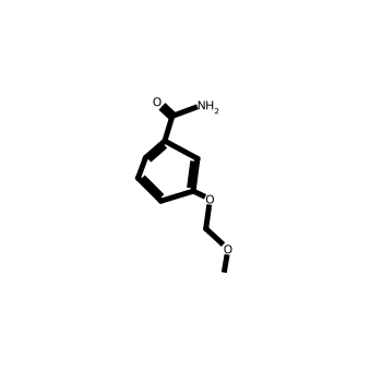 COCOc1cccc(C(N)=O)c1